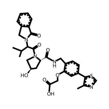 Cc1ncsc1-c1ccc(CNC(=O)[C@@H]2C[C@@H](O)CN2C(=O)C(C(C)C)N2Cc3ccccc3C2=O)c(OCC(=O)O)c1